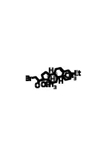 CCC1CC[C@@]2(C)C(=CC[C@@H]3[C@@H]2CC[C@@]2(C)[C@H]3CC[C@]2(O)C(=O)CBr)C1